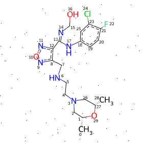 C[C@@H]1CN(CCNCc2nonc2/C(=N/CO)Nc2ccc(F)c(Cl)c2)C[C@H](C)O1